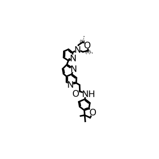 C[C@@H]1CN(c2cccc(-c3ccc4cnc(CC(=O)Nc5ccc6c(c5)OCC6(C)C)cc4n3)n2)C[C@H](C)O1